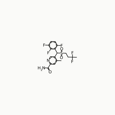 Cc1cc(C(N)=O)ncc1C(c1c(F)ccc(F)c1F)S(=O)(=O)CCC(C)(F)F